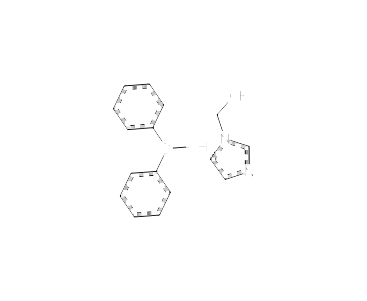 CB(c1ccccc1)c1ccccc1.FC(F)(F)Cn1ccnc1